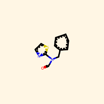 O=CN(Cc1ccccc1)c1nccs1